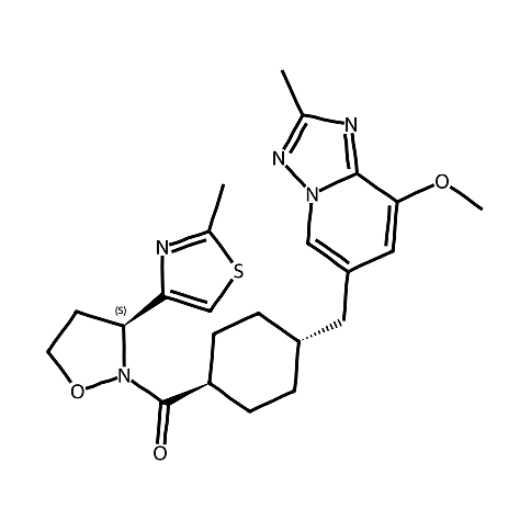 COc1cc(C[C@H]2CC[C@H](C(=O)N3OCC[C@H]3c3csc(C)n3)CC2)cn2nc(C)nc12